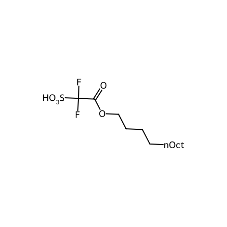 CCCCCCCCCCCCOC(=O)C(F)(F)S(=O)(=O)O